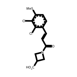 CSc1ccc(/C=C/C(=O)N2CC(C(=O)O)C2)c(Cl)c1Cl